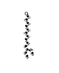 O=S=S=S=S=S=S=S=S=S=PP(P=S)P=S